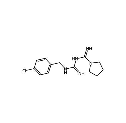 N=C(NCc1ccc(Cl)cc1)NC(=N)N1CCCC1